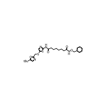 CC(C)(C)c1cnc(CSc2cnc(NC(=O)CCCCCCC(=O)NOCc3ccccc3)s2)o1